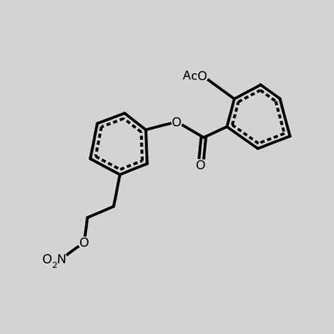 CC(=O)Oc1ccccc1C(=O)Oc1cccc(CCO[N+](=O)[O-])c1